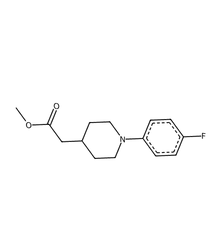 COC(=O)CC1CCN(c2ccc(F)cc2)CC1